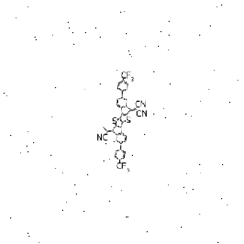 C/C(C#N)=C1/c2cc(-c3ccc(C(F)(F)F)cc3)ccc2-c2c1sc1c3c(sc21)C(=C(C#N)C#N)c1cc(-c2ccc(C(F)(F)F)cc2)ccc1-3